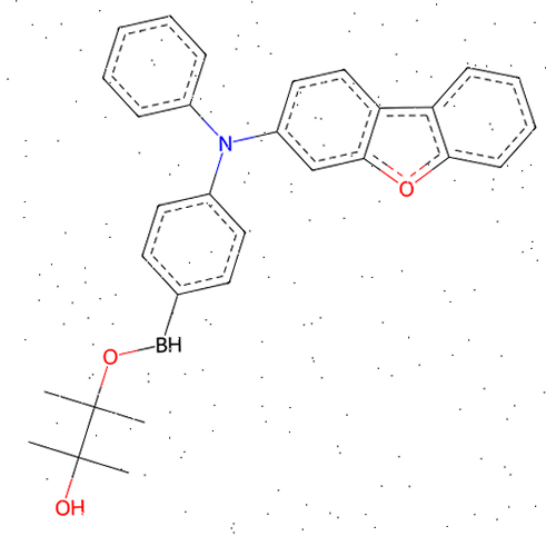 CC(C)(O)C(C)(C)OBc1ccc(N(c2ccccc2)c2ccc3c(c2)oc2ccccc23)cc1